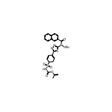 C=C(C)OC(=O)NS(=O)(=O)C1C=CC(c2nnc(N(CCCC)C(=O)c3ccc4ccccc4c3)s2)=CC1